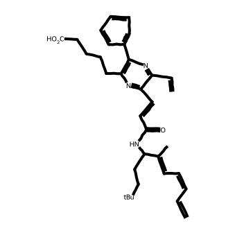 C=C/C=C\C=C(/C)C(CCC(C)(C)C)NC(=O)/C=C/c1nc(CCCCC(=O)O)c(-c2ccccc2)nc1C=C